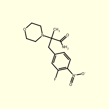 CC(Cc1ccc([N+](=O)[O-])c(F)c1)(C(N)=O)N1CCOCC1